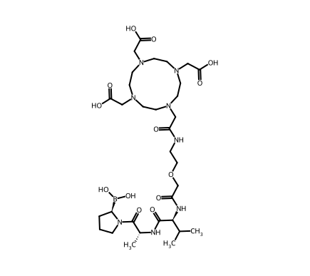 CC(C)[C@H](NC(=O)COCCNC(=O)CN1CCN(CC(=O)O)CCN(CC(=O)O)CCN(CC(=O)O)CC1)C(=O)N[C@H](C)C(=O)N1CCC[C@H]1B(O)O